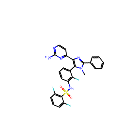 Cn1c(-c2ccccc2)nc(-c2ccnc(N)n2)c1-c1cccc(NS(=O)(=O)c2c(F)cccc2F)c1F